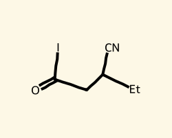 CCC(C#N)CC(=O)I